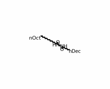 CCCCCCCC/C=C\CCCCCCCCCCCC(=O)NCCNC(=O)CCCCCCCCCCCCCCC